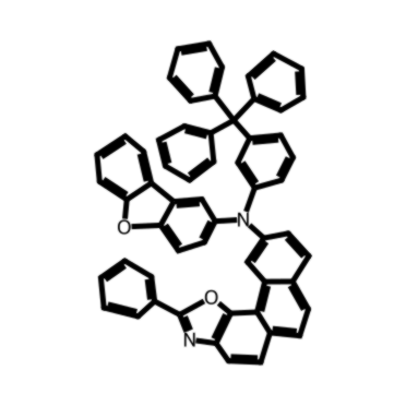 c1ccc(-c2nc3ccc4ccc5ccc(N(c6cccc(C(c7ccccc7)(c7ccccc7)c7ccccc7)c6)c6ccc7oc8ccccc8c7c6)cc5c4c3o2)cc1